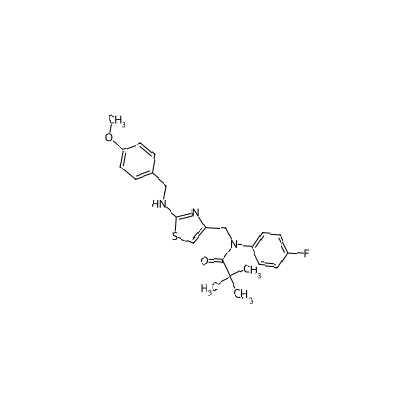 COc1ccc(CNc2nc(CN(C(=O)C(C)(C)C)c3ccc(F)cc3)cs2)cc1